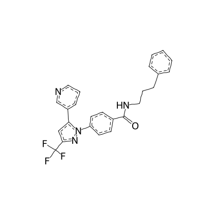 O=C(NCCCc1ccccc1)c1ccc(-n2nc(C(F)(F)F)cc2-c2cccnc2)cc1